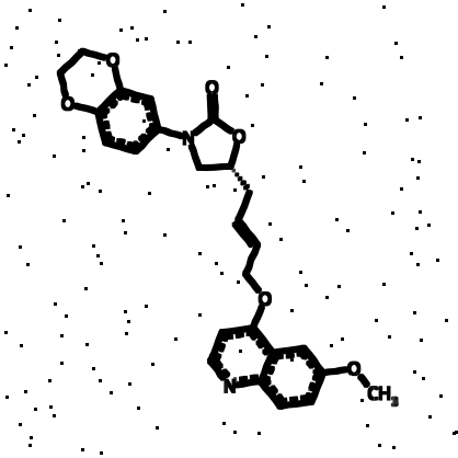 COc1ccc2nccc(OCC=CC[C@@H]3CN(c4ccc5c(c4)OCCO5)C(=O)O3)c2c1